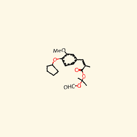 COc1cc(/C=C(/C)C(=O)OC(C)(C)OC=O)ccc1OC1CCCC1